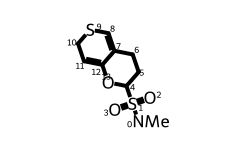 CNS(=O)(=O)C1CCC2=CSCC=C2O1